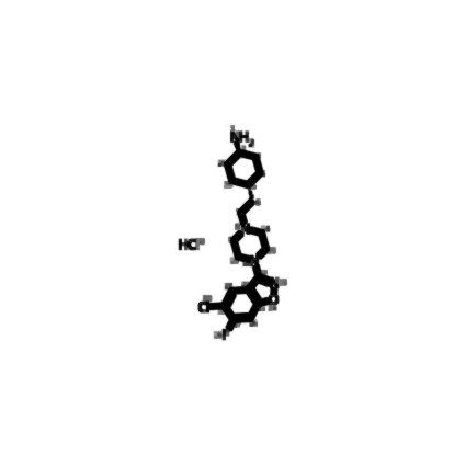 Cl.N[C@H]1CC[C@H](CCN2CCN(c3noc4cc(F)c(Cl)cc34)CC2)CC1